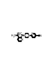 CN(c1ncccc1C(N)=O)N1CCN(c2ccc(C#N)cn2)CC1